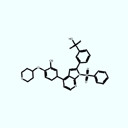 CC(C)(O)c1cccc(-c2cc3c(C4C=C(C#N)C(OC5CCOCC5)=CC4)ccnc3n2S(=O)(=O)c2ccccc2)c1